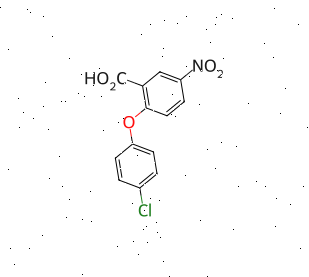 O=C(O)c1cc([N+](=O)[O-])ccc1Oc1ccc(Cl)cc1